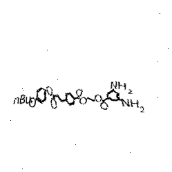 CCCCOc1ccc(OC(=O)/C=C/c2ccc(C(=O)OCCOC(=O)c3cc(N)cc(N)c3)cc2)cc1